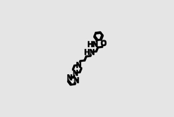 c1cnc(N2CCN(CCCCNCC3COc4ccccc4N3)CC2)nc1